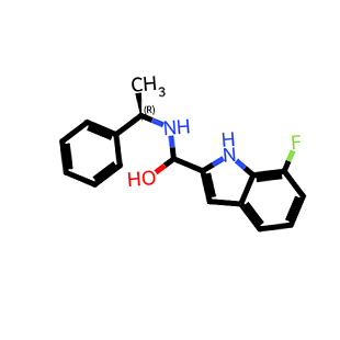 C[C@@H](NC(O)c1cc2cccc(F)c2[nH]1)c1ccccc1